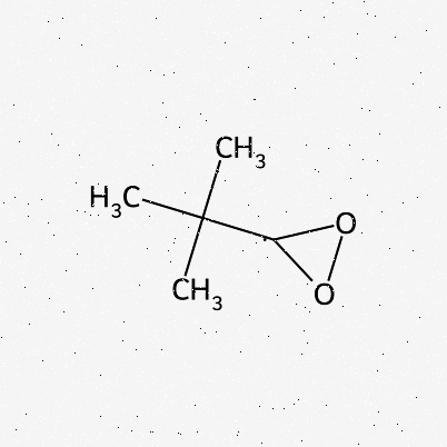 CC(C)(C)[C]1OO1